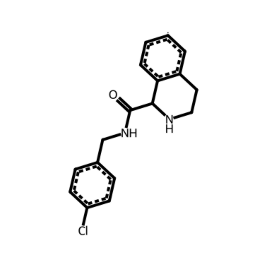 O=C(NCc1ccc(Cl)cc1)C1NCCc2c[c]ccc21